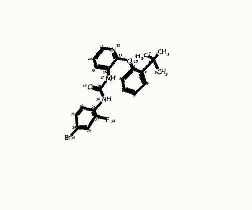 CC(C)(C)c1ccccc1Oc1ncccc1NC(=O)Nc1ccc(Br)cc1F